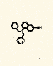 N#Cc1ccc2c(N(Cc3ccccn3)Cc3ccccn3)cccc2c1